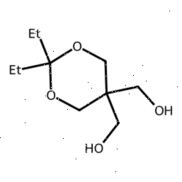 CCC1(CC)OCC(CO)(CO)CO1